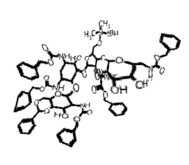 CCCOC1C(OC2C(O)C(NC(=O)OCc3ccccc3)CC(NC(=O)OCc3ccccc3)C2OC2OC3COC(c4ccccc4)OC3C(O)C2NC(=O)OCc2ccccc2)OC(CO[Si](C)(C)C(C)(C)C)C1OC1OC(CNC(=O)OCc2ccccc2)C(O)C(O)C1NC(=O)OCc1ccccc1